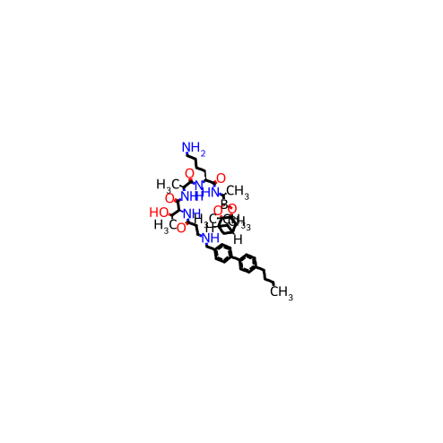 CCCCc1ccc(-c2ccc(CNCCC(=O)N[C@H](C(=O)N[C@@H](C)C(=O)N[C@@H](CCCCN)C(=O)N[C@@H](C)B3OC4C[C@@H]5C[C@@H](C5(C)C)[C@]4(C)O3)[C@@H](C)O)cc2)cc1